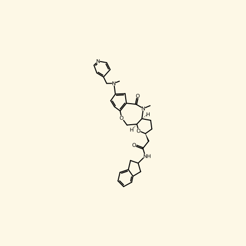 CN(Cc1ccncc1)c1ccc2c(c1)C(=O)N(C)[C@H]1CC[C@@H](CC(=O)NC3Cc4ccccc4C3)O[C@H]1CO2